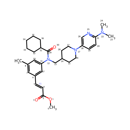 COC(=O)/C=C/c1cc(C)cc(N(CC2CCN(c3ccc(N(C)C)nc3)CC2)C(=O)C2CCCCC2)c1